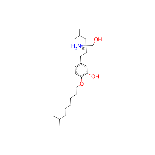 CC(C)CCCCCCOc1ccc(CC[C@@](N)(CO)CC(C)C)cc1O